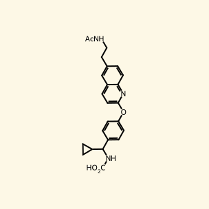 CC(=O)NCCc1ccc2nc(Oc3ccc(C(NC(=O)O)C4CC4)cc3)ccc2c1